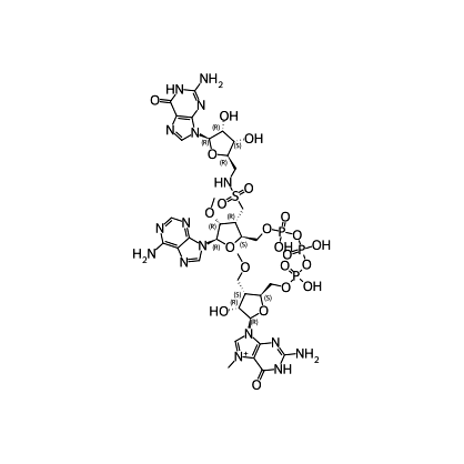 COC[C@H]1[C@@H](O)[C@H](n2c[n+](C)c3c(=O)[nH]c(N)nc32)O[C@@H]1COP(=O)(O)OP(=O)(O)OP(=O)(O)OC[C@H]1O[C@@H](n2cnc3c(N)ncnc32)[C@H](OC)[C@@H]1CS(=O)(=O)NC[C@H]1O[C@@H](n2cnc3c(=O)[nH]c(N)nc32)[C@H](O)[C@@H]1O